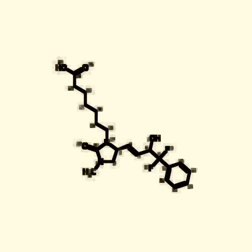 CN1C[C@H](/C=C/C(O)C(F)(F)c2ccccc2)N(CCCCCCC(=O)O)C1=O